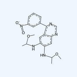 COC(C)Nc1cc2ncnc(-c3cccc([N+](=O)[O-])c3)c2cc1NC(C)OC